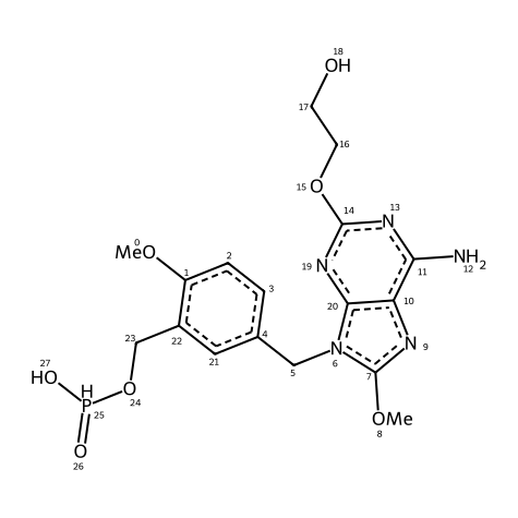 COc1ccc(Cn2c(OC)nc3c(N)nc(OCCO)nc32)cc1CO[PH](=O)O